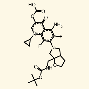 CC(C)(C)OC(=O)NCC12CN(c3c(F)c(N)c4c(=O)c(OC(=O)O)cn(C5CC5)c4c3F)CC1CCO2